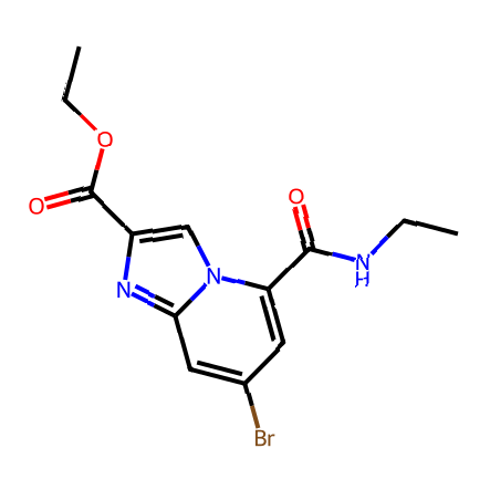 CCNC(=O)c1cc(Br)cc2nc(C(=O)OCC)cn12